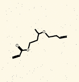 C=CCCOC(C)CCOC(=O)C=C